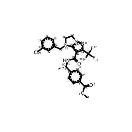 COC(=O)c1ccc([C@H](C)NC(=O)c2c(C(F)(F)F)nn3c2N(Cc2cccc(Cl)c2)CC3)cc1